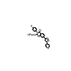 CCCCCc1nc2cc(C3=NOC(c4ccncc4)C3)ccc2c(=O)n1-c1ccc(F)cc1